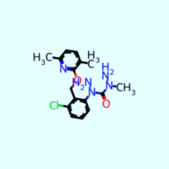 Cc1ccc(C)c(OCc2c(Cl)cccc2N(N)C(=O)N(C)N)n1